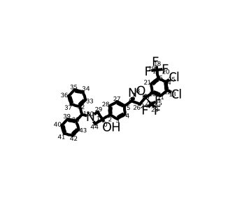 OC1(c2ccc(C3=NO[C@@](c4cc(Cl)c(Cl)c(C(F)(F)F)c4)(C(F)(F)F)C3)cc2)CN(C(c2ccccc2)c2ccccc2)C1